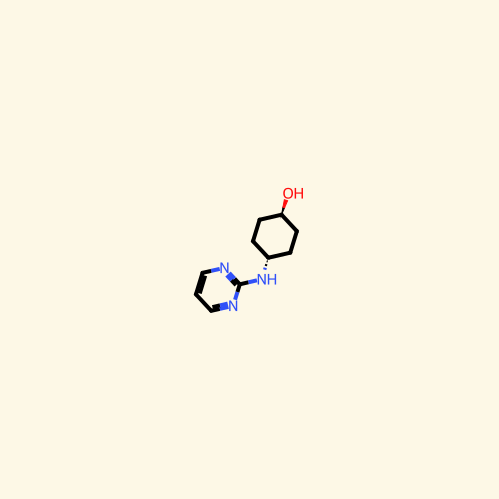 O[C@H]1CC[C@H](Nc2ncccn2)CC1